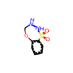 O=S1(=O)NNCOc2ccccc21